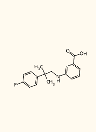 CC(C)(CNc1cccc(C(=O)O)c1)c1ccc(F)cc1